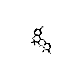 Cn1nc(OC2c3cc(Br)ccc3OC(C)(C)C2O)ccc1=O